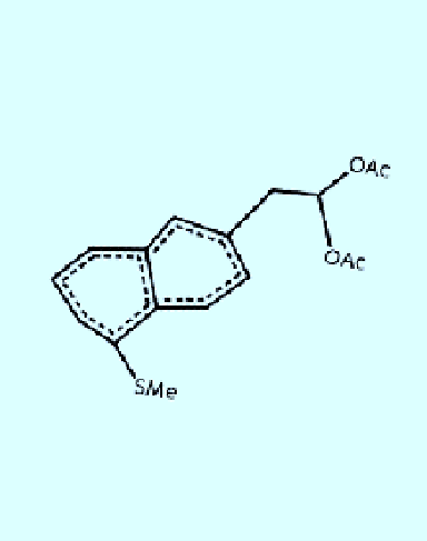 CSc1cccc2cc(CC(OC(C)=O)OC(C)=O)ccc12